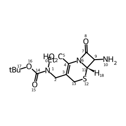 CCN(CC1=C(C(=O)O)N2C(=O)C(N)[C@@H]2SC1)C(=O)OC(C)(C)C